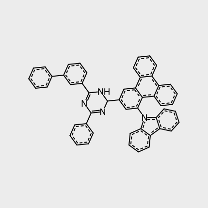 c1ccc(C2=NC(c3cc(-n4c5ccccc5c5ccccc54)c4c5ccccc5c5ccccc5c4c3)NC(c3cccc(-c4ccccc4)c3)=N2)cc1